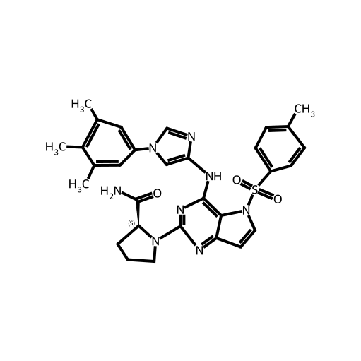 Cc1ccc(S(=O)(=O)n2ccc3nc(N4CCC[C@H]4C(N)=O)nc(Nc4cn(-c5cc(C)c(C)c(C)c5)cn4)c32)cc1